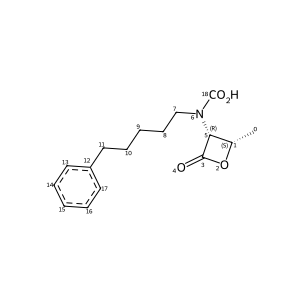 C[C@@H]1OC(=O)[C@@H]1N(CCCCCc1ccccc1)C(=O)O